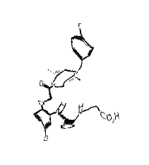 C[C@@H]1CN(Cc2ccc(F)cc2)[C@@H](C)CN1C(=O)COc1ccc(Cl)cc1NC(=O)NCCC(=O)O